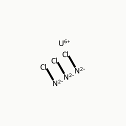 [N-2]Cl.[N-2]Cl.[N-2]Cl.[U+6]